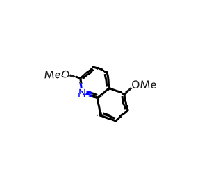 COc1ccc2c(OC)cc[c]c2n1